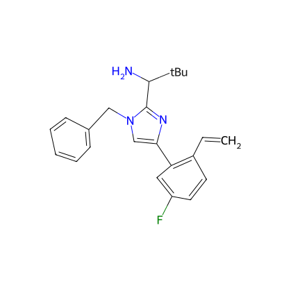 C=Cc1ccc(F)cc1-c1cn(Cc2ccccc2)c(C(N)C(C)(C)C)n1